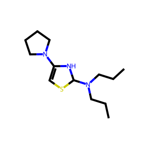 CCCN(CCC)C1NC(N2CCCC2)=CS1